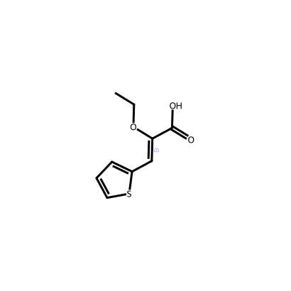 CCO/C(=C\c1cccs1)C(=O)O